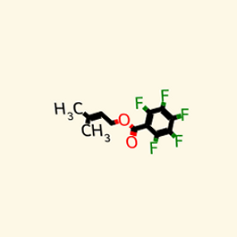 CC(C)=CCOC(=O)c1c(F)c(F)c(F)c(F)c1F